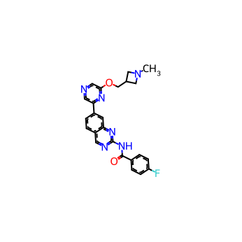 CN1CC(COc2cncc(-c3ccc4cnc(NC(=O)c5ccc(F)cc5)nc4c3)n2)C1